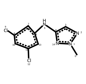 Cn1ncc(Nc2cc(Cl)cc(Cl)c2)n1